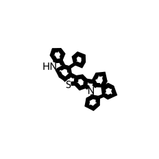 c1ccc(-c2ccccc2-n2c3ccccc3c3cc4c(cc32)sc2cc3[nH]c5ccccc5c3c(-c3ccccc3)c24)cc1